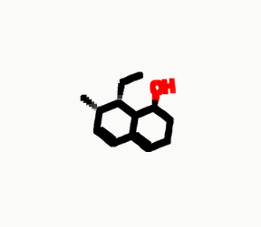 CC[C@@H]1C2C(=CCC[C@@H]2O)C=C[C@@H]1C